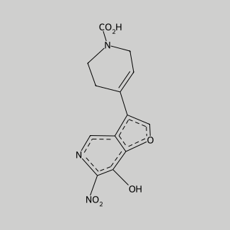 O=C(O)N1CC=C(c2coc3c(O)c([N+](=O)[O-])ncc23)CC1